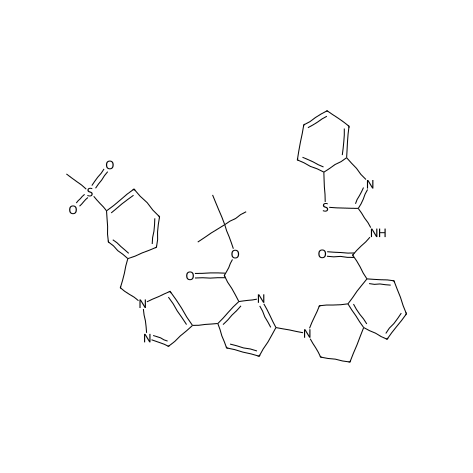 CC(C)(C)OC(=O)c1nc(N2CCc3cccc(C(=O)Nc4nc5ccccc5s4)c3C2)ccc1-c1cnn(Cc2cccc(S(C)(=O)=O)c2)c1